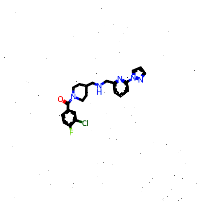 O=C(c1ccc(F)c(Cl)c1)N1CCC(CNCc2cccc(-n3cccn3)n2)CC1